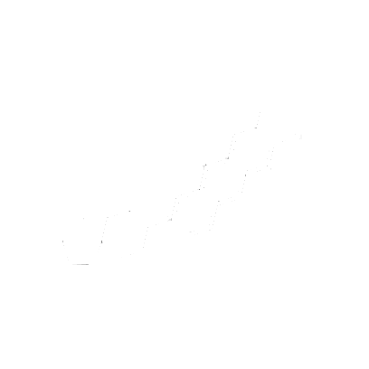 CCOC(=O)c1cc2c(=O)c3cc(C4=CCC5(CC4)OCCO5)ccc3oc2nc1N